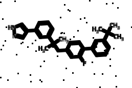 CC(C)(C)c1cccc(-c2ccc(CC(C)(C)c3cccc(-c4cn[nH]c4)c3)cc2F)c1